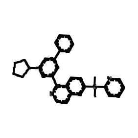 CS(C)(c1ccc2c(-c3cc(-c4ccccc4)cc(C4CCCC4)c3)nccc2c1)c1ccccn1